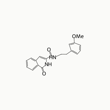 COc1cccc(CCNC(=O)c2cc3ccccc3c(=O)[nH]2)c1